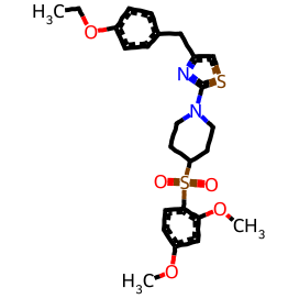 CCOc1ccc(Cc2csc(N3CCC(S(=O)(=O)c4ccc(OC)cc4OC)CC3)n2)cc1